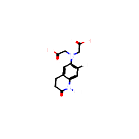 Cc1cc2c(cc1N(CC(=O)O)CC(=O)O)CCC(=O)N2C